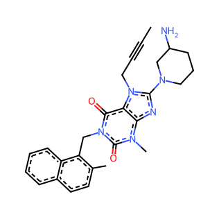 CC#CCn1c(N2CCCC(N)C2)nc2c1c(=O)n(Cc1c(C)ccc3ccccc13)c(=O)n2C